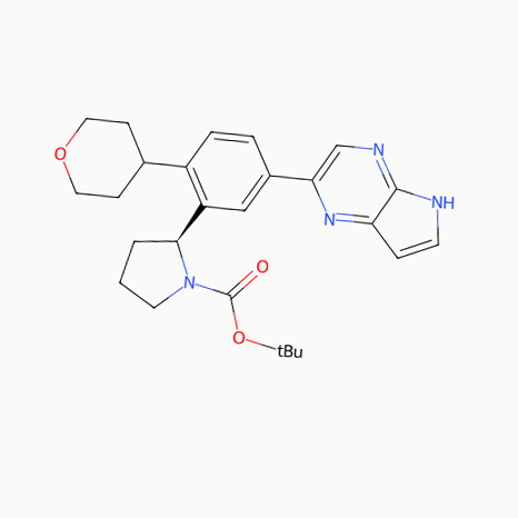 CC(C)(C)OC(=O)N1CCC[C@H]1c1cc(-c2cnc3[nH]ccc3n2)ccc1C1CCOCC1